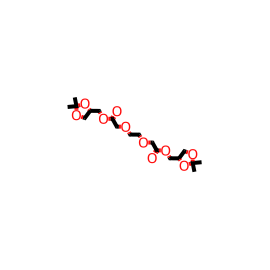 CC1(C)OCC(COC(=O)COCCOCC(=O)OCC2COC(C)(C)O2)O1